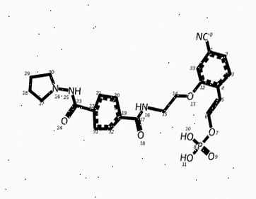 N#Cc1ccc(C=COP(=O)(O)O)c(OCCNC(=O)c2ccc(C(=O)NN3CCCC3)cc2)c1